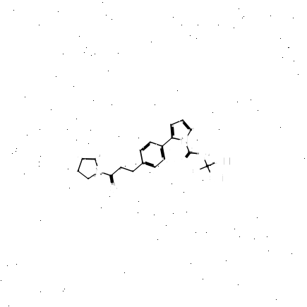 CC(C)(C)OC(=O)n1cccc1-c1ccc(C[CH]C(=O)N2CCCC2)cc1